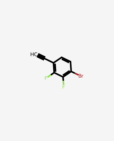 C#Cc1ccc(Br)c(F)c1F